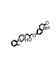 Cc1ccccc1N1CCN(CC(O)COc2ccc3c(c2)CCC(=O)N3)CC1